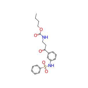 CCCCOC(=O)NCCC(=O)c1cccc(NS(=O)(=O)c2ccccc2)c1